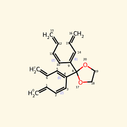 C=C/C=C\C(=C/C=C)C1(C(/C=C\C=C)=C/C=C)OCCO1